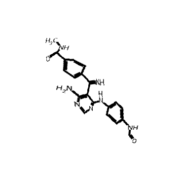 CNC(=O)c1ccc(C(=N)c2c(N)ncnc2Nc2ccc(NC=O)cc2)cc1